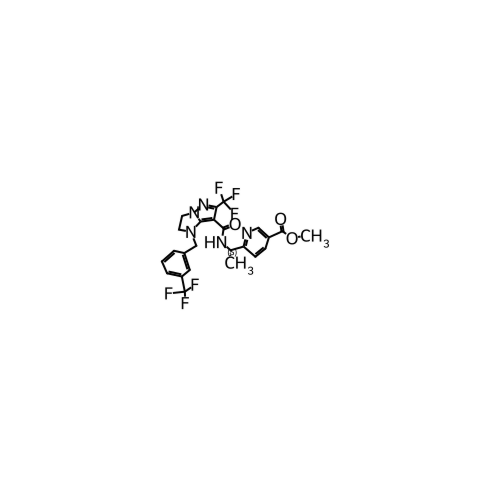 COC(=O)c1ccc([C@H](C)NC(=O)c2c(C(F)(F)F)nn3c2N(Cc2cccc(C(F)(F)F)c2)CC3)nc1